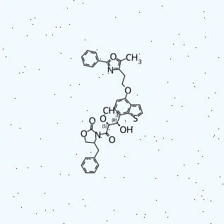 CO[C@H](C(=O)N1C(=O)OCC1Cc1ccccc1)[C@H](O)c1ccc(OCCc2nc(-c3ccccc3)oc2C)c2ccsc12